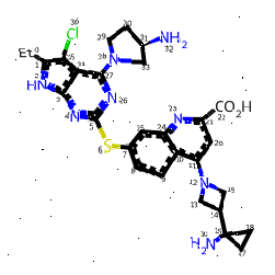 CCc1[nH]c2nc(Sc3ccc4c(N5CC(C6(N)CC6)C5)cc(C(=O)O)nc4c3)nc(N3CC[C@@H](N)C3)c2c1Cl